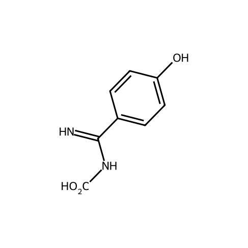 N=C(NC(=O)O)c1ccc(O)cc1